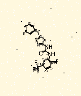 O=C(Nc1nnc(Cc2ccncc2)s1)Nc1cc(C(F)(F)F)ccc1F